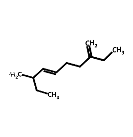 [CH2]C(C=CCCC(=C)CC)CC